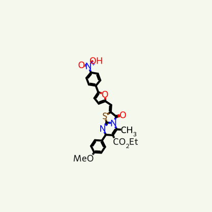 CCOC(=O)C1=C(C)n2c(s/c(=C\c3ccc(-c4ccc([N+](=O)O)cc4)o3)c2=O)=NC1c1ccc(OC)cc1